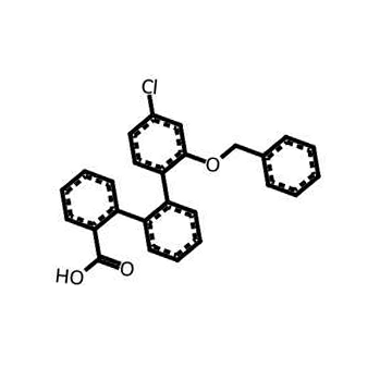 O=C(O)c1ccccc1-c1ccccc1-c1ccc(Cl)cc1OCc1ccccc1